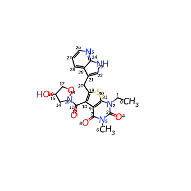 CCn1c(=O)n(C)c(=O)c2c(C(=O)N3CC(O)CO3)c(Cc3c[nH]c4ncccc34)sc21